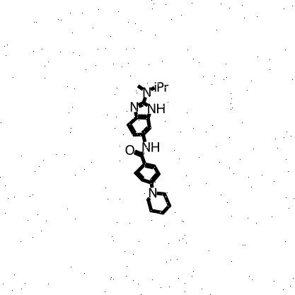 CC(C)N(C)c1nc2ccc(NC(=O)c3ccc(N4CCCCC4)cc3)cc2[nH]1